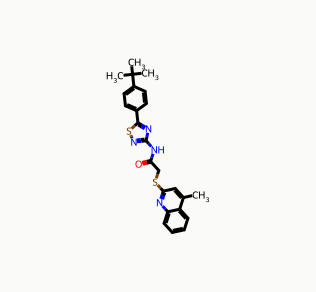 Cc1cc(SCC(=O)Nc2nsc(-c3ccc(C(C)(C)C)cc3)n2)nc2ccccc12